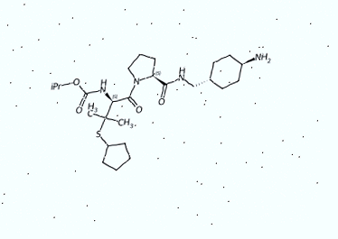 CC(C)OC(=O)N[C@@H](C(=O)N1CCC[C@H]1C(=O)NC[C@H]1CC[C@H](N)CC1)C(C)(C)SC1CCCC1